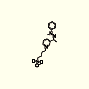 CC(=NN(C)c1ccccc1)c1ccc[n+](CCCCS(=O)(=O)[O-])c1